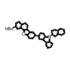 CCCCc1ccc2ccc3c4cc(-c5ccc6c(c5)c5ccccc5n6-c5ccc6ccccc6c5)ccc4oc3c2c1